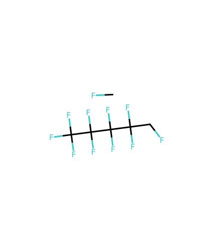 CF.FCC(F)(F)C(F)(F)C(F)(F)C(F)(F)F